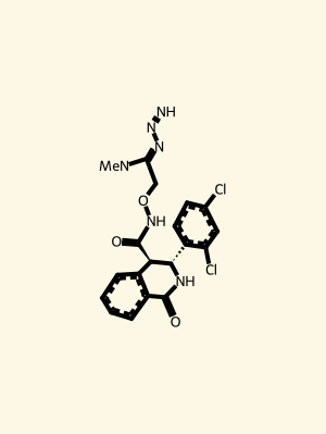 CN/C(CONC(=O)[C@@H]1c2ccccc2C(=O)N[C@H]1c1ccc(Cl)cc1Cl)=N\N=N